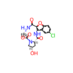 CC(C)(C)OC(=O)N1C[C@@H](O)C[C@H]1C(=O)Nc1c(C(N)=O)oc2ccc(Cl)cc12